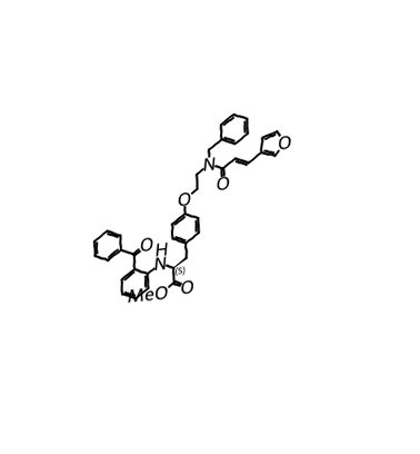 COC(=O)[C@H](Cc1ccc(OCCN(Cc2ccccc2)C(=O)C=Cc2ccoc2)cc1)Nc1ccccc1C(=O)c1ccccc1